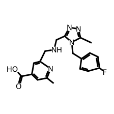 Cc1cc(C(=O)O)cc(CNCc2nnc(C)n2Cc2ccc(F)cc2)n1